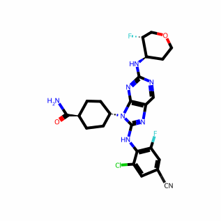 N#Cc1cc(F)c(Nc2nc3cnc(N[C@@H]4CCOC[C@H]4F)nc3n2[C@H]2CC[C@H](C(N)=O)CC2)c(Cl)c1